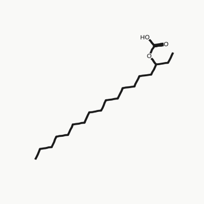 CCCCCCCCCCCCCCCC(CC)OC(=O)O